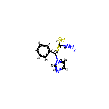 NC(=S)S.c1ccc(Cn2ccnc2)cc1